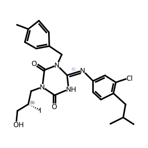 Cc1ccc(Cn2c(=O)n(C[C@H](I)CO)c(=O)[nH]/c2=N\c2ccc(CC(C)C)c(Cl)c2)cc1